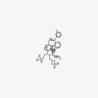 Cc1cccc(C2=NCC(=O)N(NC(=O)[C@H](CCC(F)(F)F)[C@H](CC3CC(F)(F)C3)C(N)=O)c3c(Cl)cccc32)c1